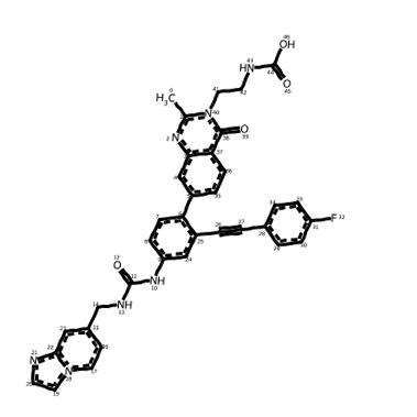 Cc1nc2cc(-c3ccc(NC(=O)NCc4ccn5ccnc5c4)cc3C#Cc3ccc(F)cc3)ccc2c(=O)n1CCNC(=O)O